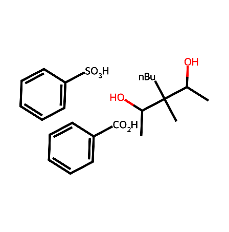 CCCCC(C)(C(C)O)C(C)O.O=C(O)c1ccccc1.O=S(=O)(O)c1ccccc1